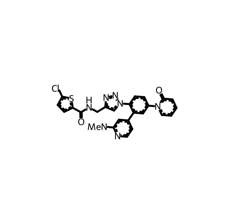 CNc1cc(-c2cc(-n3ccccc3=O)ccc2-n2cc(CNC(=O)c3ccc(Cl)s3)nn2)ccn1